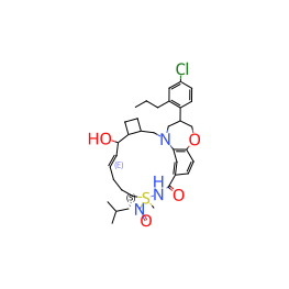 CCCc1cc(Cl)ccc1C1COc2ccc3cc2N(C1)CC1CCC1C(O)/C=C/CC[C@@H](CC(C)C)S(C)(N=O)NC3=O